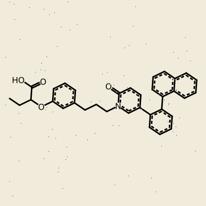 CCC(Oc1cccc(CCCn2cc(-c3ccccc3-c3cccc4ccccc34)ccc2=O)c1)C(=O)O